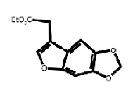 CCOC(=O)Cc1coc2cc3c(cc12)OCO3